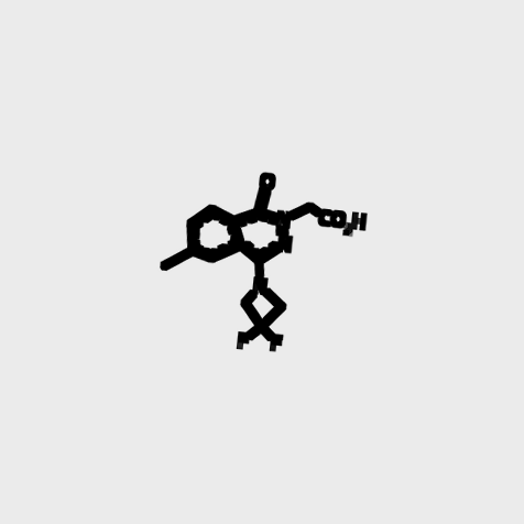 Cc1ccc2c(=O)n(CC(=O)O)nc(N3CC(F)(F)C3)c2c1